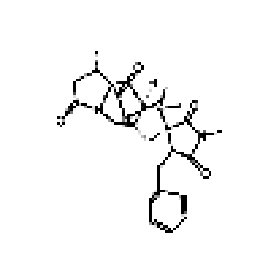 C[C@H]1CC(=O)N2C[C@]34C[C@@]5(C(=O)N(C)C(=O)C5Cc5ccccc5)C(C)(C)[C@@H]3C[C@]12C(=O)N4C